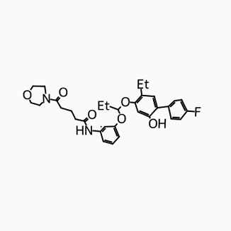 CCc1cc(-c2ccc(F)cc2)c(O)cc1OC(CC)Oc1[c]c(NC(=O)CCCC(=O)N2CCOCC2)ccc1